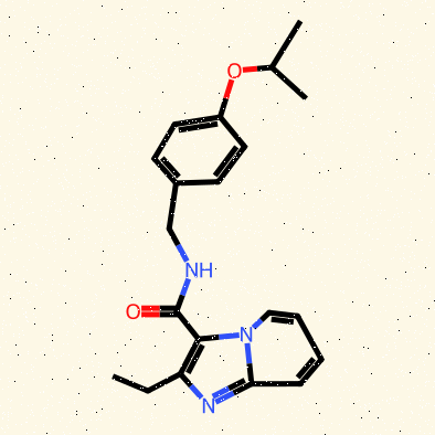 CCc1nc2ccccn2c1C(=O)NCc1ccc(OC(C)C)cc1